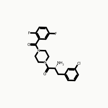 N[C@H](Cc1cccc(Cl)c1)C(=O)N1CCN(C(=O)c2cc(F)ccc2F)CC1